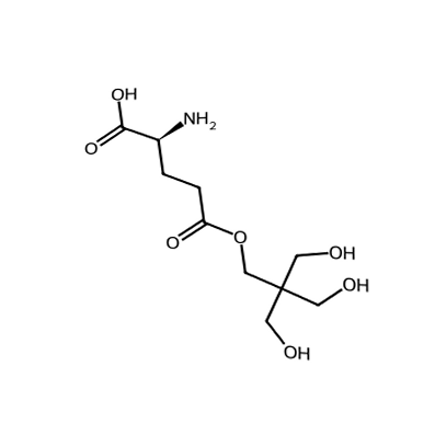 N[C@@H](CCC(=O)OCC(CO)(CO)CO)C(=O)O